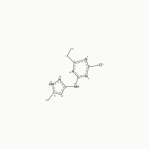 CCc1nc(Cl)nc(Nc2cc(C)[nH]n2)n1